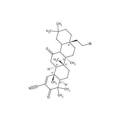 CC1(C)CC[C@]2(CCBr)CC[C@]3(C)C(C(=O)C[C@@H]4[C@@]5(C)C=C(C#N)C(=O)C(C)(C)[C@@H]5CC[C@]43C)C2C1